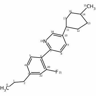 CCCc1ccc(-c2ccc(C3CCC(C)CC3)cn2)c(F)c1